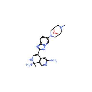 CN1CC2CN(c3ccc4nc(C5=CNC(C)(N)c6cnc(N)cc65)nn4c3)CC(C1)O2